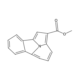 COC(=O)c1cc2c3ccccc3c3cccc1n32